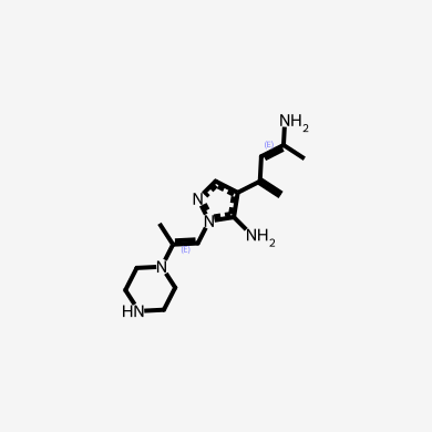 C=C(/C=C(\C)N)c1cnn(/C=C(\C)N2CCNCC2)c1N